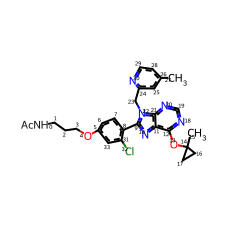 CC(=O)NCCCOc1ccc(-c2nc3c(OC4(C)CC4)ncnc3n2Cc2cc(C)ccn2)c(Cl)c1